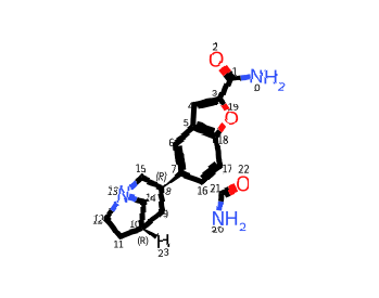 NC(=O)c1cc2cc([C@H]3C[C@@H]4CCN(C4)C3)ccc2o1.NC=O